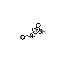 CC1(O)C2CCCCC2C(=O)N1CC1CCN(CCc2ccccc2)CC1